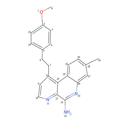 COc1ccc(CCc2ccnc3c(N)nc4cc(C)ccc4c23)cc1